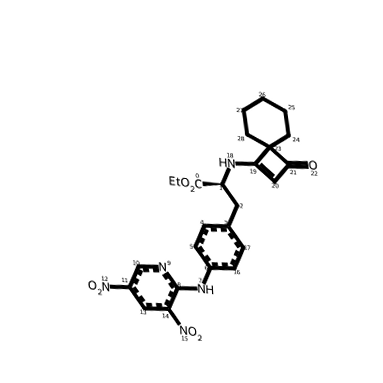 CCOC(=O)[C@H](Cc1ccc(Nc2ncc([N+](=O)[O-])cc2[N+](=O)[O-])cc1)NC1=CC(=O)C12CCCCC2